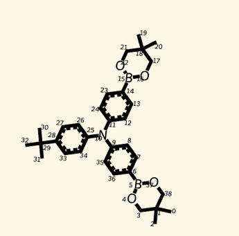 CC1(C)COB(c2ccc(N(c3ccc(B4OCC(C)(C)CO4)cc3)c3ccc(C(C)(C)C)cc3)cc2)OC1